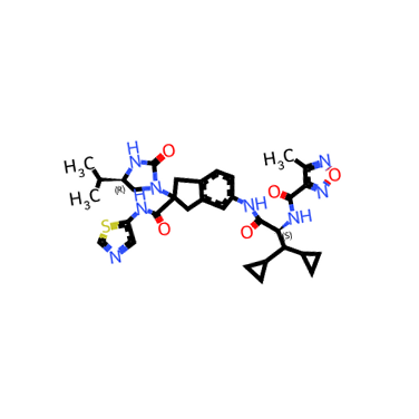 Cc1nonc1C(=O)N[C@H](C(=O)Nc1ccc2c(c1)CC(C(=O)Nc1cncs1)(N1C[C@@H](C(C)C)NC1=O)C2)C(C1CC1)C1CC1